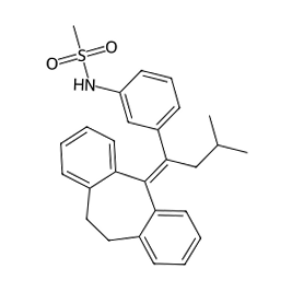 CC(C)CC(=C1c2ccccc2CCc2ccccc21)c1cccc(NS(C)(=O)=O)c1